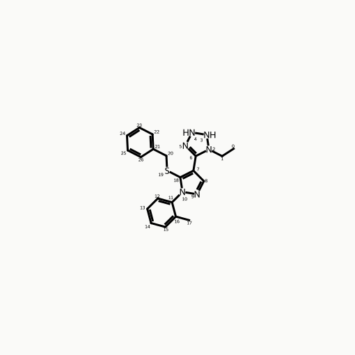 CCN1NNN=C1c1cnn(-c2ccccc2C)c1SCc1ccccc1